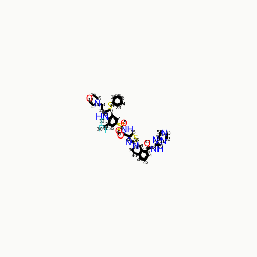 O=C(NS(=O)(=O)c1ccc(N[C@H](CCN2CCOCC2)CSc2ccccc2)c(C(F)(F)F)c1)c1csc(N2CCc3cccc(C(=O)Nc4cn5ccncc5n4)c3C2)n1